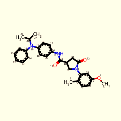 COc1ccc(C)c(N2CC(C(=O)Nc3ccc(N(c4ccccc4)C(C)C)cc3)CC2=O)c1